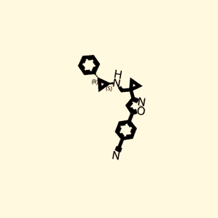 N#Cc1ccc(-c2cc(C3(CN[C@H]4C[C@@H]4c4ccccc4)CC3)no2)cc1